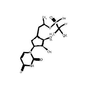 CCC(C)(O)P(=O)(O)OC(C)CC1CC(n2ccc(=O)[nH]c2=O)[C@H](O)[C@@H]1O